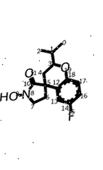 CC(C)C1CC2(CCN(O)C2=O)c2cc(F)ccc2O1